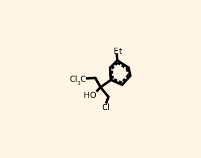 CCc1cccc(C(O)(CCl)CC(Cl)(Cl)Cl)c1